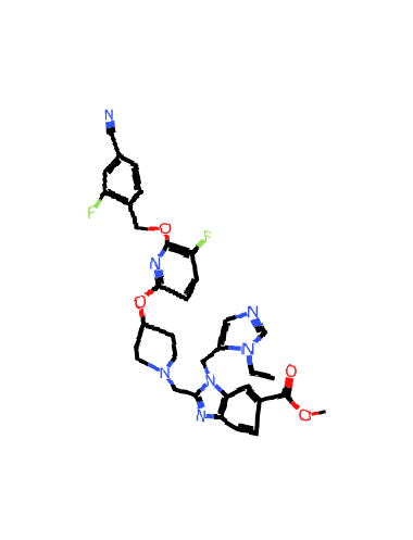 CCn1cncc1Cn1c(CN2CCC(Oc3ccc(F)c(OCc4ccc(C#N)cc4F)n3)CC2)nc2ccc(C(=O)OC)cc21